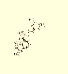 CCN(CCO)CCCC(C)Nc1ccnc2cc(Cl)cc(Cl)c12